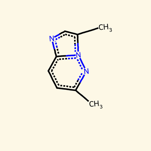 Cc1ccc2ncc(C)n2n1